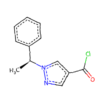 C[C@@H](c1ccccc1)n1cc(C(=O)Cl)cn1